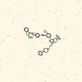 CS(=O)(=O)N1CCc2c(c(-c3ccc(Cl)c(C#Cc4ccc(CN[C@@H]5c6ccccc6C[C@@H]5O)cc4)c3)nn2CCCN2CCN(c3ccccc3)CC2)C1